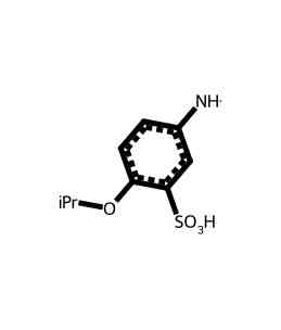 CC(C)Oc1ccc([NH])cc1S(=O)(=O)O